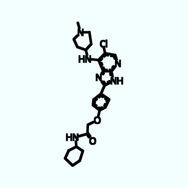 CN1CCC(Nc2c(Cl)cnc3[nH]c(-c4ccc(OCC(=O)NC5CCCCC5)cc4)nc23)CC1